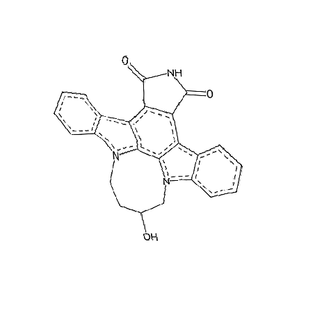 O=C1NC(=O)c2c1c1c3ccccc3n3c1c1c2c2ccccc2n1CC(O)CC3